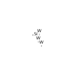 [Si].[W].[W].[W]